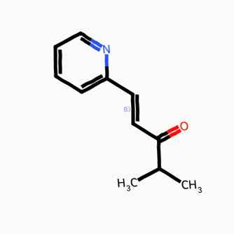 CC(C)C(=O)/C=C/c1ccccn1